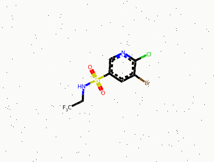 O=S(=O)(NCC(F)(F)F)c1cnc(Cl)c(Br)c1